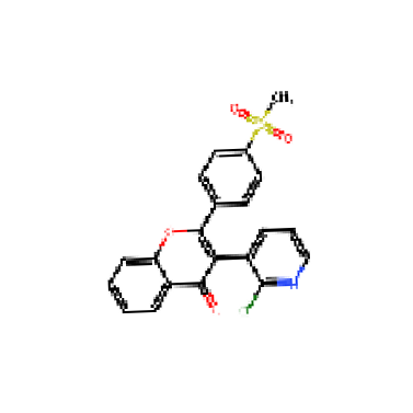 CS(=O)(=O)c1ccc(-c2oc3ccccc3c(=O)c2-c2cccnc2Cl)cc1